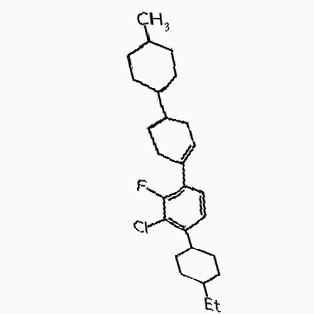 CCC1CCC(c2ccc(C3=CCC(C4CCC(C)CC4)CC3)c(F)c2Cl)CC1